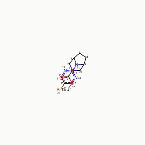 CC(C)(C)OC(=O)N1CC2CCC(C1)N2c1ncc(Br)cn1